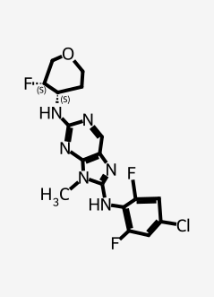 Cn1c(Nc2c(F)cc(Cl)cc2F)nc2cnc(N[C@H]3CCOC[C@H]3F)nc21